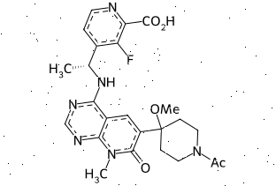 COC1(c2cc3c(N[C@H](C)c4ccnc(C(=O)O)c4F)ncnc3n(C)c2=O)CCN(C(C)=O)CC1